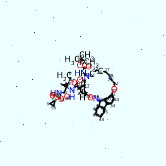 C=C[C@@H]1C[C@]1(NC(=O)[C@@H]1C[C@@H]2C[C@H]1C(=O)N(NC(=O)OC(C)(C)C)CCCC/C=C/COc1ccc3c(c1)/C(=N/O2)c1ccccc1-3)C(=O)NS(=O)(=O)C1CC1